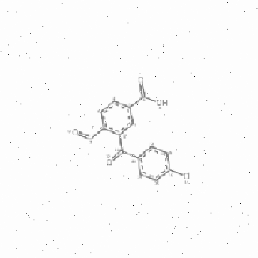 O=[C]c1ccc(C(=O)O)cc1C(=O)c1ccc(Cl)cc1